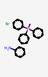 C[P+](c1ccccc1)(c1ccccc1)c1ccccc1.Nc1ccccc1.[Br-]